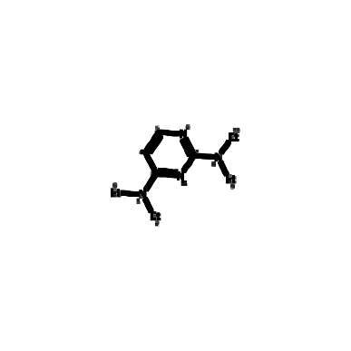 CCN(CC)c1c[c]nc(N(CC)CC)n1